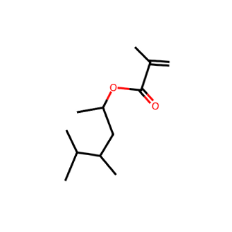 C=C(C)C(=O)OC(C)CC(C)C(C)C